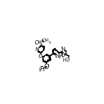 CC(C)Oc1cc(Oc2ccc([S+](C)[O-])nc2)cc(-c2ccc(C3=NCC(CO)O3)[nH]2)c1